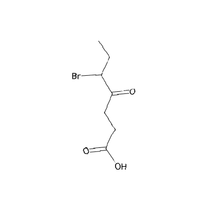 CCC(Br)C(=O)CCC(=O)O